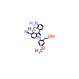 COc1ccc(-n2cc(-c3cccc(N)c3C)c3cc(C#N)ccc32)c(CCO)c1